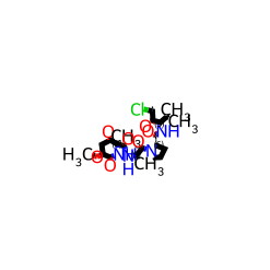 COC1CC(=O)[C@](C)(C(=O)N[C@@H](C)C(=O)N2CCC[C@H]2C(=O)N[C@H](C(=O)[CH]Cl)C(C)C)NC1=O